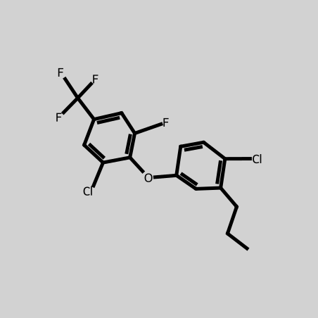 CCCc1cc(Oc2c(F)cc(C(F)(F)F)cc2Cl)ccc1Cl